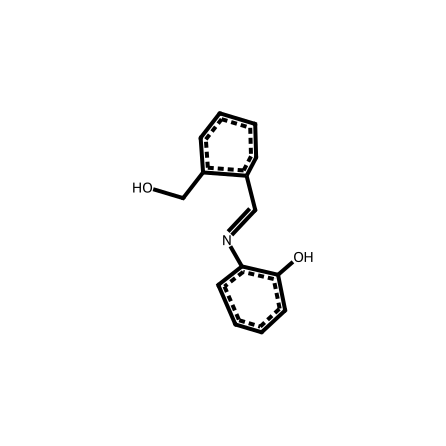 OCc1ccccc1/C=N/c1ccccc1O